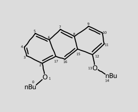 CCCCOc1cccc2cc3cccc(OCCCC)c3cc12